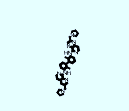 Cc1c(Nc2nccc3cc(CN4CCCC4)cnc23)cccc1-c1cccc(Nc2nccc3nc(CN4CCCC4)cnc23)c1C